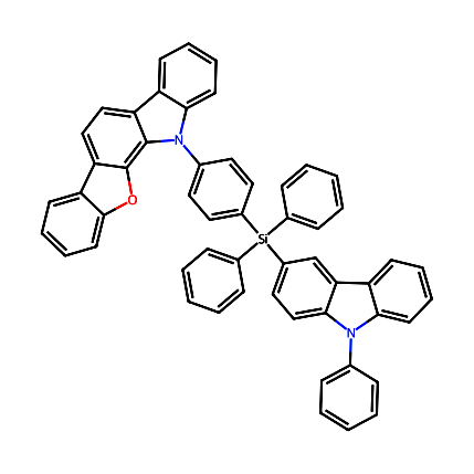 c1ccc(-n2c3ccccc3c3cc([Si](c4ccccc4)(c4ccccc4)c4ccc(-n5c6ccccc6c6ccc7c8ccccc8oc7c65)cc4)ccc32)cc1